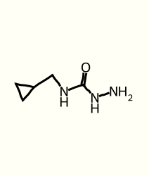 NNC(=O)NCC1CC1